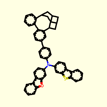 c1ccc2c(c1)-c1ccc(-c3ccc(N(c4ccc5c(c4)oc4ccccc45)c4ccc5c(c4)sc4ccccc45)cc3)cc1C1CC3CC4CC2CC431